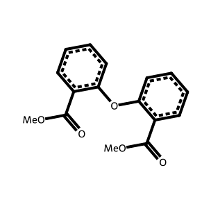 COC(=O)c1ccccc1Oc1ccccc1C(=O)OC